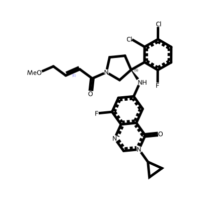 COC/C=C/C(=O)N1CC[C@](Nc2cc(F)c3ncn(C4CC4)c(=O)c3c2)(c2c(F)ccc(Cl)c2Cl)C1